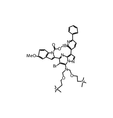 COc1ccc2c(c1)cc(-c1nc3c(-c4ccc(-c5ccccc5)nc4)cnn3c(N(COCC[Si](C)(C)C)COCC[Si](C)(C)C)c1Br)n2C(=O)OC(C)(C)C